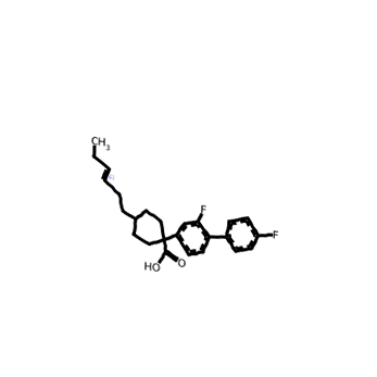 CC/C=C/CCC1CCC(C(=O)O)(c2ccc(-c3ccc(F)cc3)c(F)c2)CC1